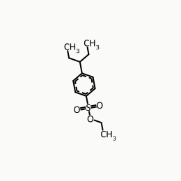 CCOS(=O)(=O)c1ccc(C(CC)CC)cc1